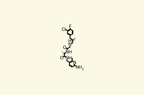 Cc1nc(N)ccc1CNC(=O)[C@H](C)NC(=O)CNC[C@H](C)Cc1ccc(F)c(Cl)c1